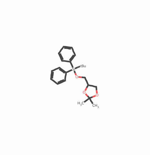 CC1(C)OCC(CO[Si](c2ccccc2)(c2ccccc2)C(C)(C)C)O1